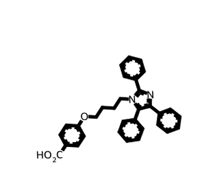 O=C(O)c1ccc(OCCCCn2c(-c3ccccc3)nc(-c3ccccc3)c2-c2ccccc2)cc1